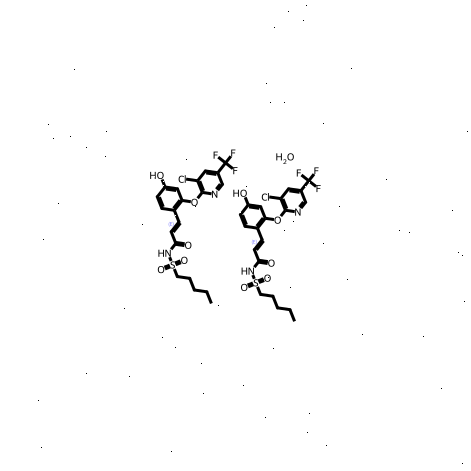 CCCCCS(=O)(=O)NC(=O)/C=C/c1ccc(O)cc1Oc1ncc(C(F)(F)F)cc1Cl.CCCCCS(=O)(=O)NC(=O)/C=C/c1ccc(O)cc1Oc1ncc(C(F)(F)F)cc1Cl.O